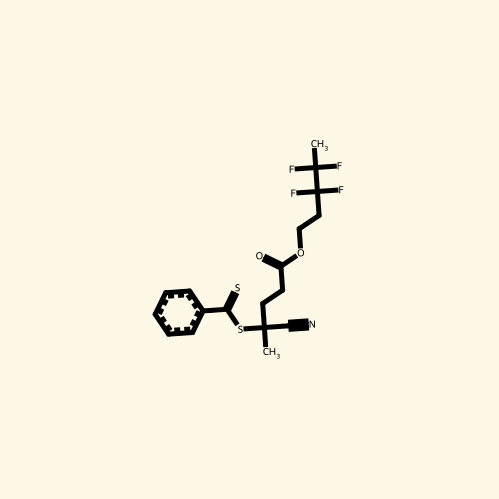 CC(C#N)(CCC(=O)OCCC(F)(F)C(C)(F)F)SC(=S)c1ccccc1